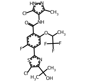 Cc1n[nH]c(Cl)c1NC(=O)c1cc(F)c(-c2nc(C(C)(C)O)c(Cl)s2)cc1OC(C)C(F)(F)F